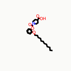 CCCCCCCCCCCCOc1ccccc1OC(=O)N1CCC(C(=O)O)CC1